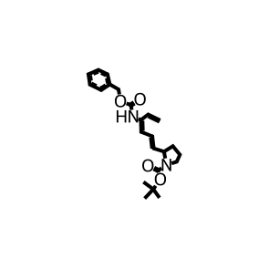 C=C/C(=C\C=CC1CCCN1C(=O)OC(C)(C)C)NC(=O)OCc1ccccc1